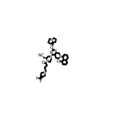 N#CC[C@H]1CN(c2nc(OCC34CCCN3CCC4)nc3c2CCN(c2cccc4cccc(Cl)c24)C3)CCN1C(=O)/C=C/CN1CC2C(C1)C2(F)F